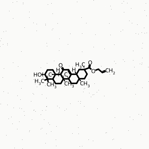 C=CCOC(=O)[C@@]1(C)CC[C@]2(C)CC[C@]3(C)C(=CC(=O)[C@@H]4[C@@]5(C)CC[C@H](O)C(C)(C)C5CC[C@]43C)[C@@H]2C1